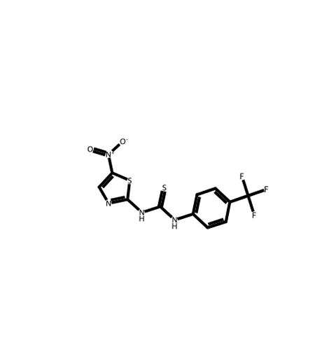 O=[N+]([O-])c1cnc(NC(=S)Nc2ccc(C(F)(F)F)cc2)s1